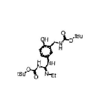 CC/N=C(/NC(=O)OC(C)(C)C)Nc1ccc(O)c(CNC(=O)OC(C)(C)C)c1